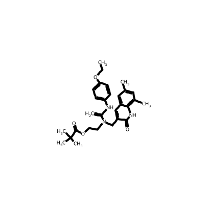 C=C(Nc1ccc(OCC)cc1)N(CCOC(=O)C(C)(C)C)Cc1cc2cc(C)cc(C)c2[nH]c1=O